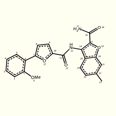 COc1ccccc1-c1ccc(C(=O)Nc2c(C(N)=O)oc3cc(C)ccc23)o1